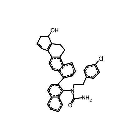 NC(=O)N(CCc1ccc(Cl)cc1)c1c(-c2cccc3c4c(ccc23)C2=C(CC4)C(O)CC=C2)ccc2ccccc12